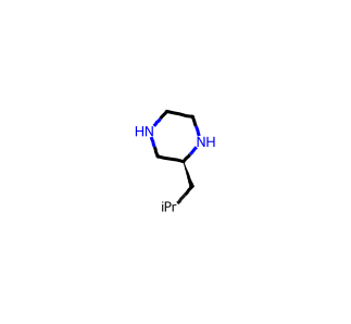 CC(C)C[C@H]1CNCCN1